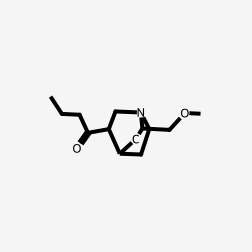 CCCC(=O)C1CN2CCC1CC2COC